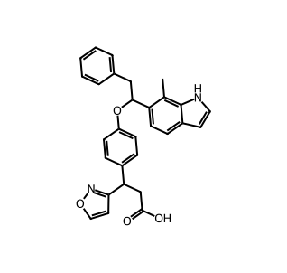 Cc1c(C(Cc2ccccc2)Oc2ccc(C(CC(=O)O)c3ccon3)cc2)ccc2cc[nH]c12